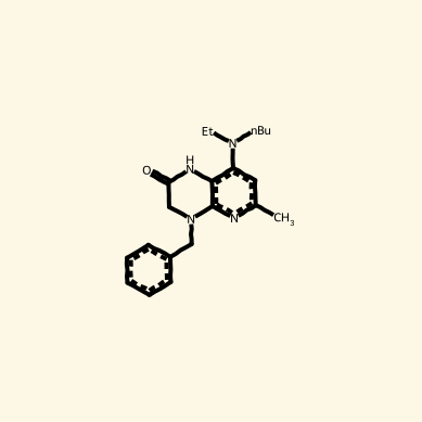 CCCCN(CC)c1cc(C)nc2c1NC(=O)CN2Cc1ccccc1